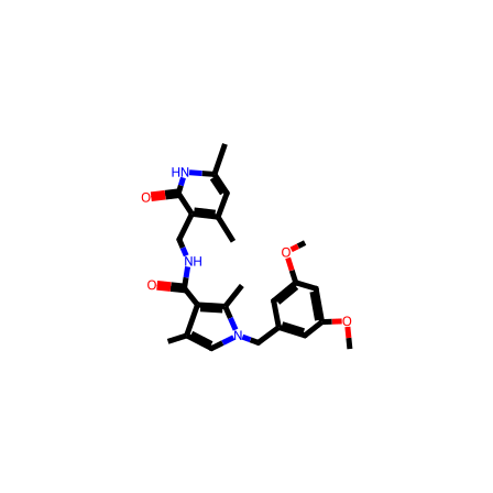 COc1cc(Cn2cc(C)c(C(=O)NCc3c(C)cc(C)[nH]c3=O)c2C)cc(OC)c1